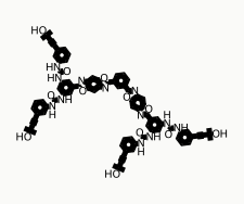 CC(C)(O)C#Cc1cccc(NC(=O)Nc2cc(NC(=O)Nc3cccc(C#CC(C)(C)O)c3)cc(-c3nc4cc5oc(-c6cccc(-c7nc8cc9oc(-c%10cc(NC(=O)Nc%11cccc(C#CC(C)(C)O)c%11)cc(NC(=O)Nc%11cccc(C#CC(C)(C)O)c%11)c%10)nc9cc8o7)c6)nc5cc4o3)c2)c1